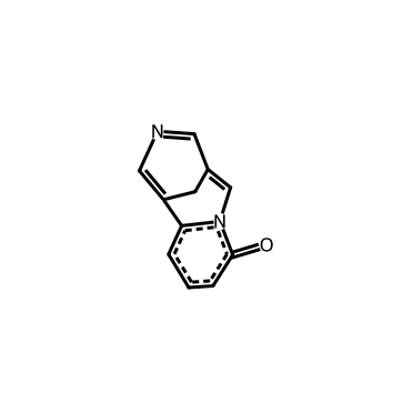 O=c1cccc2n1C=C1C=NC=C2C1